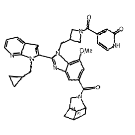 COc1cc(C(=O)N2CC3CC4CC2[C@H]43)cc2nc(-c3cc4cccnc4n3CC3CC3)n(CC3CN(C(=O)c4cc[nH]c(=O)c4)C3)c12